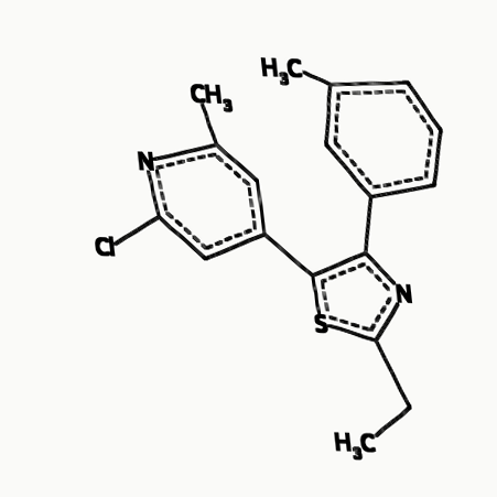 CCc1nc(-c2cccc(C)c2)c(-c2cc(C)nc(Cl)c2)s1